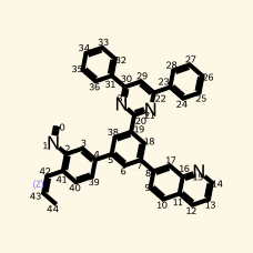 C=Nc1cc(-c2cc(-c3ccc4cccnc4c3)cc(-c3nc(-c4ccccc4)cc(-c4ccccc4)n3)c2)ccc1/C=C\C